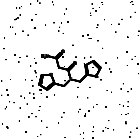 NC(=O)CC(=O)N(Cc1ccco1)Cc1ccco1